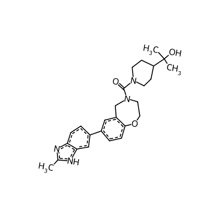 Cc1nc2ccc(-c3ccc4c(c3)CN(C(=O)N3CCC(C(C)(C)O)CC3)CCO4)cc2[nH]1